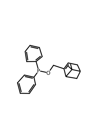 CC1(C)C2CC=C(COP(c3ccccc3)c3ccccc3)C1C2